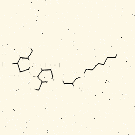 CCCCCCCCCCCCCCCCOCC(CO[C@@H]1OC(CO)[C@@H](O[C@@H]2OC(CO)[C@H](O)C(O)[C@@H]2O)C(O)[C@@H]1O)OC